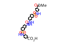 COC(=O)c1ccc(NS(=O)(=O)c2ccc3ccc(NC(=O)Nc4ccc5ccc(S(=O)(=O)Nc6ccc(C(=O)O)cc6)cc5c4)cc3c2)cc1